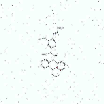 CCOC(=O)/C=C/c1ccc(C(C=O)NC(c2ccccc2)c2ccccc2N2CCCCC2)cc1OCC